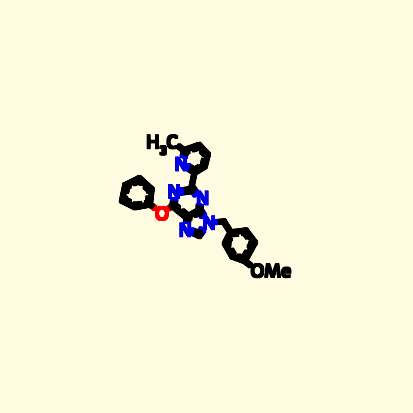 COc1ccc(Cn2cnc3c(Oc4ccccc4)nc(-c4cccc(C)n4)nc32)cc1